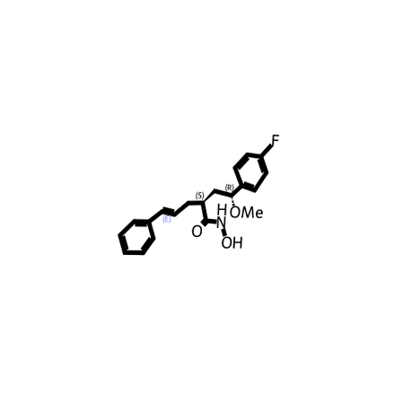 CO[C@H](C[C@H](C/C=C/c1ccccc1)C(=O)NO)c1ccc(F)cc1